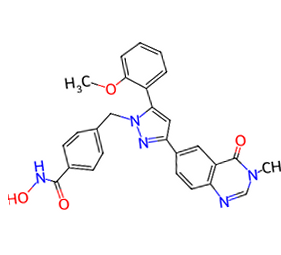 COc1ccccc1-c1cc(-c2ccc3ncn(C)c(=O)c3c2)nn1Cc1ccc(C(=O)NO)cc1